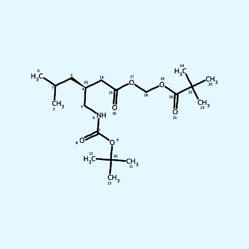 CC(C)C[C@H](CNC(=O)OC(C)(C)C)CC(=O)OCOC(=O)C(C)(C)C